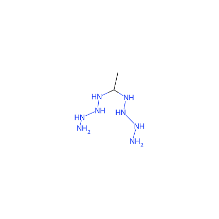 CC(NNNN)NNNN